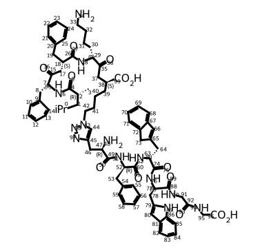 CC(C)C[C@@H](C)C(=O)N[C@H](Cc1ccccc1)C(=O)C[C@H](Cc1ccccc1)C(=O)N[C@H](CCCCN)C(=O)C[C@H](CCCCn1cc(C[C@@H](N)C(=O)N[C@H](Cc2ccccc2)C(=O)N[C@H](CC2=Cc3ccccc3C2)C(=O)N[C@H](Cc2cc3ccccc3[nH]2)C(=O)NCC(=O)NCC(=O)O)nn1)C(=O)O